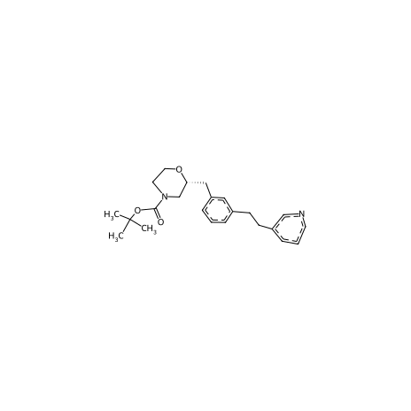 CC(C)(C)OC(=O)N1CCO[C@H](Cc2cccc(CCc3cccnc3)c2)C1